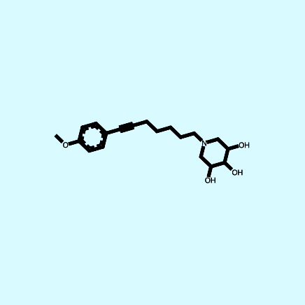 COc1ccc(C#CCCCCCN2CC(O)C(O)C(O)C2)cc1